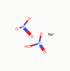 O=[N+]([O-])O.O=[N+]([O-])[O-].[Na+]